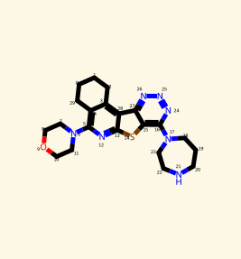 C1CCc2c(c(N3CCOCC3)nc3sc4c(N5CCCNCC5)nnnc4c23)C1